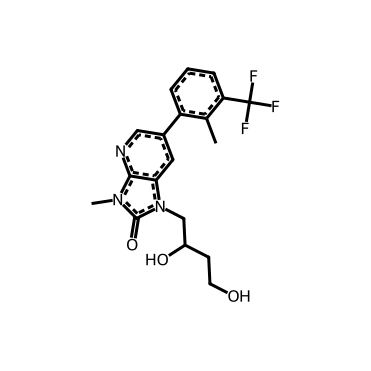 Cc1c(-c2cnc3c(c2)n(CC(O)CCO)c(=O)n3C)cccc1C(F)(F)F